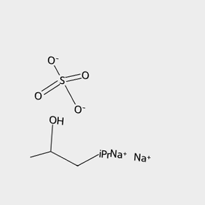 CC(C)CC(C)O.O=S(=O)([O-])[O-].[Na+].[Na+]